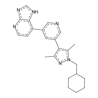 Cc1nn(CC2CCCCC2)c(C)c1-c1cncc(-c2ccnc3nc[nH]c23)c1